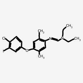 CCN(/C=N/c1cc(C)c(Oc2ccc(Cl)c(I)c2)cc1C)CC